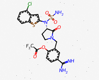 N=C(N)c1ccc(OC(=O)C(F)(F)F)c(CN2CC[C@H](N(c3cc4c(Cl)cccc4s3)S(N)(=O)=O)C2=O)c1